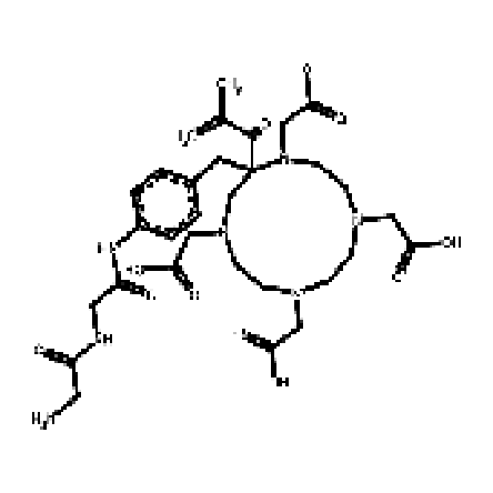 C=C(C)C(=O)C1(Cc2ccc(NC(=O)CNC(=O)CN)cc2)CN(CC(=O)O)CCN(CC(=O)O)CCN(CC(=O)O)CCN1CC(=O)O